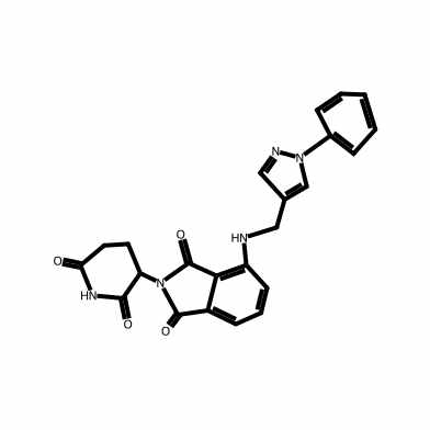 O=C1CCC(N2C(=O)c3cccc(NCc4cnn(-c5ccccc5)c4)c3C2=O)C(=O)N1